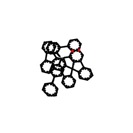 c1ccc(-c2ccc(N(c3ccccc3-c3ccccc3)c3cccc4c3C3(c5ccccc5-4)c4ccccc4-c4c3cc3c5c(cccc45)-c4ccccc4-3)cc2)cc1